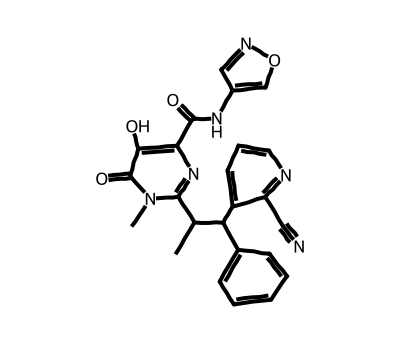 CC(c1nc(C(=O)Nc2cnoc2)c(O)c(=O)n1C)C(c1ccccc1)c1cccnc1C#N